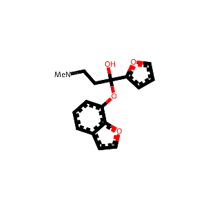 CNCCC(O)(Oc1cccc2ccoc12)c1ccco1